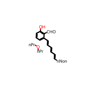 CCCCCCCCCC=CC=CC=Cc1cccc(O)c1C=O.CCCOCCC